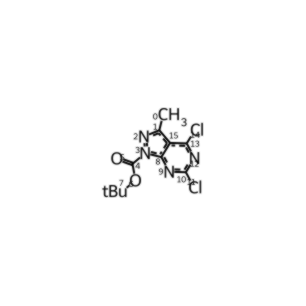 Cc1nn(C(=O)OC(C)(C)C)c2nc(Cl)nc(Cl)c12